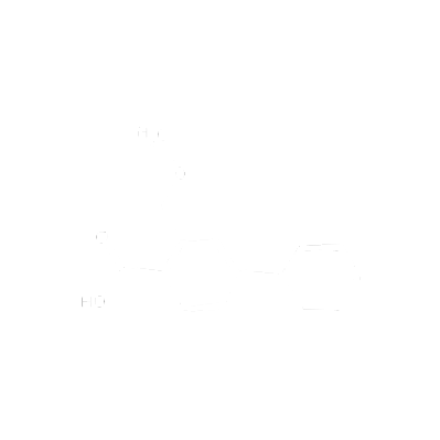 COCc1cc(-c2c[c]ccc2)ccc1C(=O)O